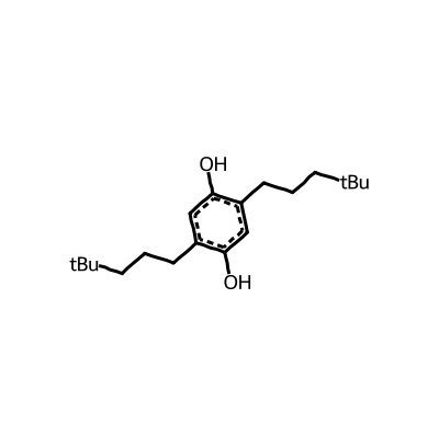 CC(C)(C)CCCc1cc(O)c(CCCC(C)(C)C)cc1O